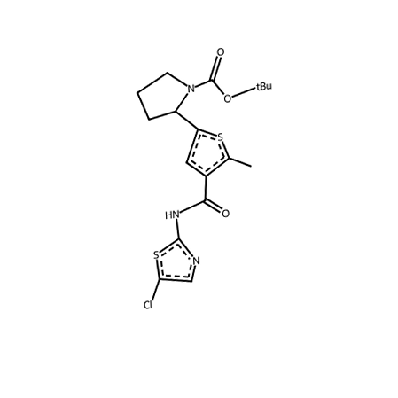 Cc1sc(C2CCCN2C(=O)OC(C)(C)C)cc1C(=O)Nc1ncc(Cl)s1